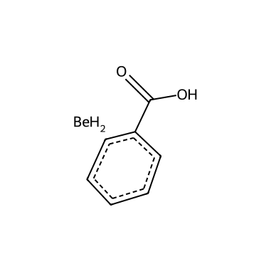 O=C(O)c1ccccc1.[BeH2]